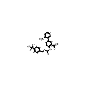 Cc1ccccc1-c1ccc(NC(=O)SCc2ccc(C(F)(F)F)cc2)c(C(=O)O)c1